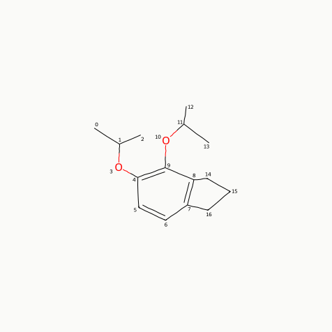 CC(C)Oc1ccc2c(c1OC(C)C)CCC2